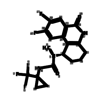 CN(C(=O)NC1(C(F)(F)F)CC1)[C@H]1CCCc2[nH]c(=O)c3cc(F)c(F)cc3c21